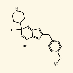 COc1ccc(CC2=CC3=NC(C)(C4CCNCC4)N=CC3=N2)cc1.Cl